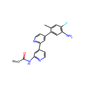 COC(=O)Nc1cc(-c2cc(-c3cc(N)c(F)cc3C)ccn2)ccn1